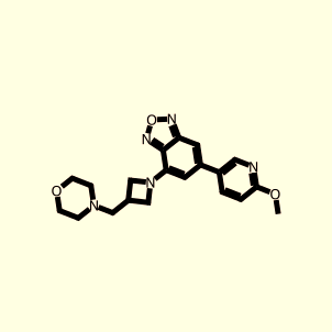 COc1ccc(-c2cc(N3CC(CN4CCOCC4)C3)c3nonc3c2)cn1